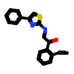 COc1ccccc1C(=O)/C=N/c1nc(-c2ccccc2)cs1